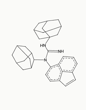 N=C(NC12CC3CC(CC(C3)C1)C2)N(c1ccc2c3c(cccc13)C=C2)C1C2CC3CC(C2)CC1C3